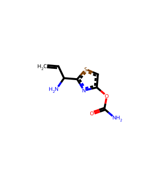 C=CC(N)c1nc(OC(N)=O)cs1